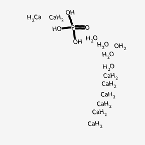 O.O.O.O.O.O=P(O)(O)O.[CaH2].[CaH2].[CaH2].[CaH2].[CaH2].[CaH2].[CaH2].[CaH2]